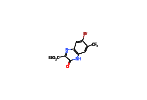 CCOC(=O)c1nc2cc(Br)c(C(F)(F)F)cc2[nH]c1=O